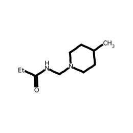 CCC(=O)NCN1CCC(C)CC1